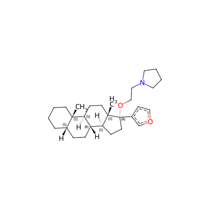 C[C@]12CCCC[C@H]1CC[C@@H]1[C@@H]2CC[C@@]2(C)[C@H]1CC[C@]2(OCCN1CCCC1)c1ccoc1